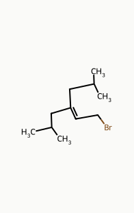 CC(C)CC(=CCBr)CC(C)C